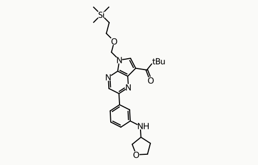 CC(C)(C)C(=O)c1cn(COCC[Si](C)(C)C)c2ncc(-c3cccc(NC4CCOC4)c3)nc12